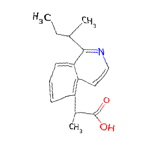 CCC(C)c1nccc2c(C(C)C(=O)O)cccc12